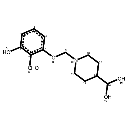 O=Cc1c(O)cccc1OCN1CCC(C(O)O)CC1